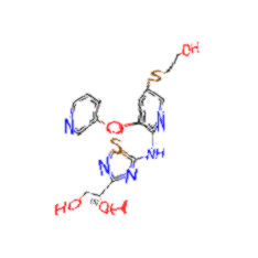 OCCSc1cnc(Nc2nc([C@H](O)CO)ns2)c(Oc2cccnc2)c1